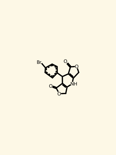 O=C1OCC2=C1C(c1ccc(Br)cc1)C1=C(COC1=O)N2